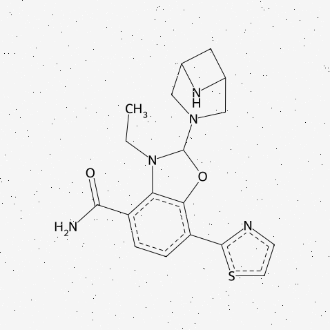 CCN1c2c(C(N)=O)ccc(-c3nccs3)c2OC1N1CC2CC(C1)N2